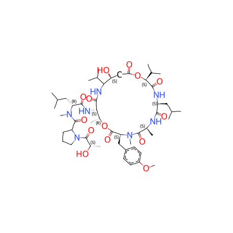 COc1ccc(C[C@H]2C(=O)O[C@H](C)[C@H](NC(=O)[C@@H](CC(C)C)N(C)C(=O)C3CCCN3C(=O)[C@H](C)O)C(=O)NC(C(C)C)[C@@H](O)CC(=O)O[C@@H](C(C)C)C(=O)N[C@@H](CC(C)C)C(=O)N[C@@H](C)C(=O)N2C)cc1